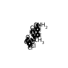 CN(C(=O)CN1C(=O)COc2cc(Cl)c(Cl)cc21)C(CN1CCOCC1)c1cccc(-c2ccc(C(N)=O)c(Cl)c2)c1